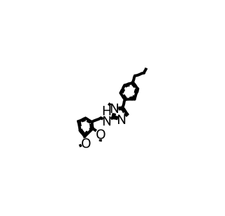 CCCc1ccc(-c2cnc(NCc3cccc(OC)c3OC)n2C)cc1